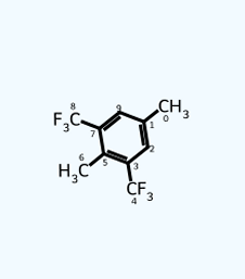 Cc1cc(C(F)(F)F)c(C)c(C(F)(F)F)c1